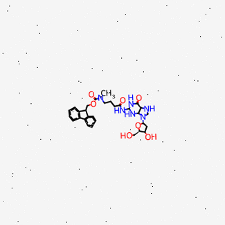 CN(CCCC(=O)NC1NC(=O)C2NCN([C@H]3CC(O)[C@@H](CO)O3)C2N1)C(=O)OCC1c2ccccc2-c2ccccc21